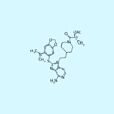 CC(=O)O[C@@H](C)C(=O)N1CCC(CCn2c(Sc3cc4c(cc3N(C)C)OCO4)nc3c(N)nccc32)CC1